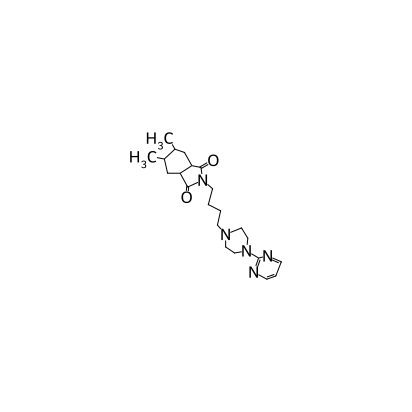 CC1CC2C(=O)N(CCCCN3CCN(c4ncccn4)CC3)C(=O)C2CC1C